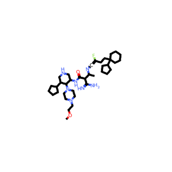 COCCN1CCN(C2C(NC(=O)C(C(=N)N)C(C)N=C=C(F)CCC3(C4CCCC4)CCCCC3)CNCC2C2CCCC2)CC1